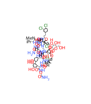 CN[C@H](CC(C)C)C(=O)N[C@H]1C(=O)N[C@@H](CC(N)=O)C(=O)N[C@H]2C(=O)N[C@H]3C(=O)N[C@H](C(=O)N[C@@H](C(=O)NOCC(N)=O)c4cc(O)cc(O)c4-c4cc3ccc4O)[C@H](O)c3ccc(c(Cl)c3)Oc3cc2cc(c3O[C@@H]2O[C@H](CO)[C@@H](O)[C@H](O)[C@H]2O[C@H]2C[C@](C)(NCCn3ccc(NC(=O)CCc4ccc(Cl)c(Cl)c4)nc3=O)[C@H](O)[C@H](C)O2)Oc2ccc(cc2Cl)[C@H]1O